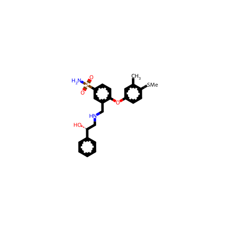 CSc1ccc(Oc2ccc(S(N)(=O)=O)cc2CNC[C@@H](O)c2ccccc2)cc1C